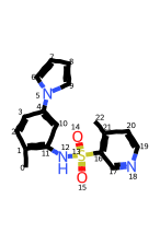 Cc1ccc(-n2cccc2)cc1NS(=O)(=O)c1cnccc1C